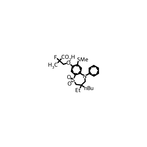 CCCCC1(CC)CN(c2ccccc2)c2cc(SC)c(OCC(C)(F)C(=O)O)cc2S(=O)(=O)C1